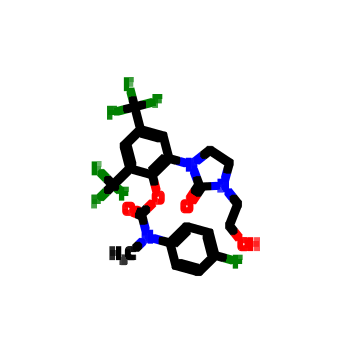 CN(C(=O)Oc1c(N2CCN(CCO)C2=O)cc(C(F)(F)F)cc1C(F)(F)F)c1ccc(F)cc1